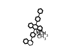 C[Si](C)(C)c1cc(C2=CCCc3ccccc32)ccc1-c1c2ccccc2c(-c2ccc(-c3ccccc3)cc2)c2ccccc12